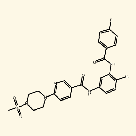 CS(=O)(=O)N1CCN(c2ccc(C(=O)Nc3ccc(Cl)c(NC(=O)c4ccc(F)cc4)c3)cn2)CC1